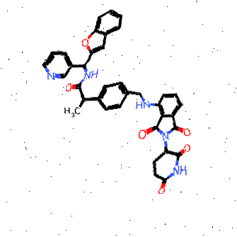 CC(C(=O)NC(c1cccnc1)c1cc2ccccc2o1)c1ccc(CNc2cccc3c2C(=O)N(C2CCC(=O)NC2=O)C3=O)cc1